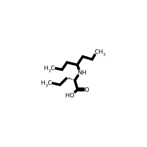 CCCC(CCC)N[C@@H](CCC)C(=O)O